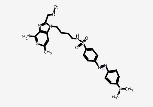 CCOCc1nc2c(N)nc(C)cc2n1CCCCNS(=O)(=O)c1ccc(/N=N/c2ccc(N(C)C)cc2)cc1